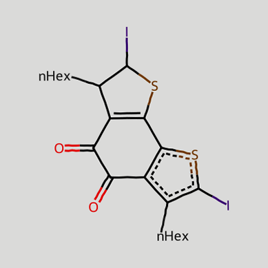 CCCCCCc1c(I)sc2c1C(=O)C(=O)C1=C2SC(I)C1CCCCCC